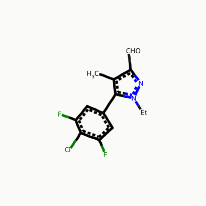 CCn1nc(C=O)c(C)c1-c1cc(F)c(Cl)c(F)c1